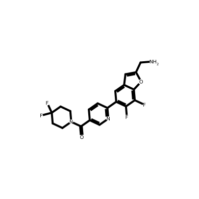 NCc1cc2cc(-c3ccc(C(=O)N4CCC(F)(F)CC4)cn3)c(F)c(F)c2o1